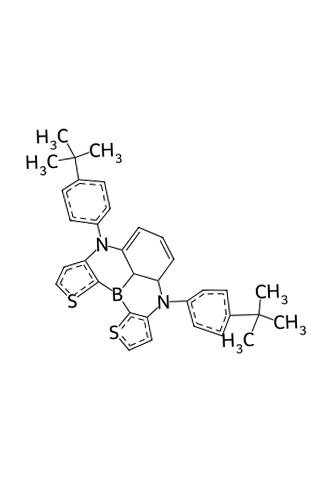 CC(C)(C)c1ccc(N2C3=CC=CC4C3B(c3sccc32)c2sccc2N4c2ccc(C(C)(C)C)cc2)cc1